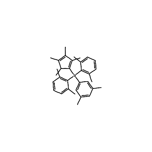 CC1=C(C)C(C)C([Si](c2cc(C)cc(C)c2)(c2c(C)cccc2C)c2c(C)cccc2C)=C1C